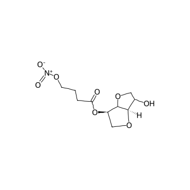 O=C(CCCO[N+](=O)[O-])O[C@@H]1CO[C@@H]2C(O)COC21